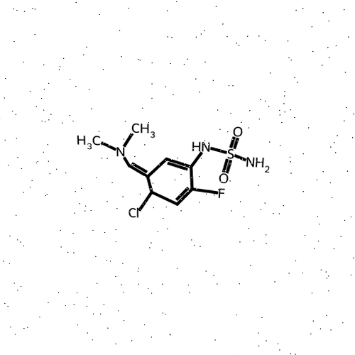 CN(C)C=C1C=C(NS(N)(=O)=O)C(F)=CC1Cl